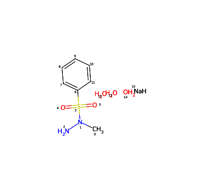 CN(N)S(=O)(=O)c1ccccc1.O.O.O.[NaH]